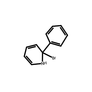 BrC1(c2ccccc2)C=CC=CN1